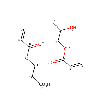 C=CC(=O)OCC(C)O.C=CC(=O)OCCC(=O)O